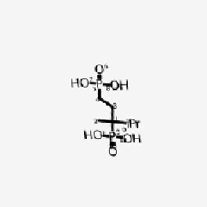 CC(C)C(C)(CCP(=O)(O)O)P(=O)(O)O